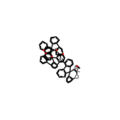 c1ccc(C2(c3ccccc3)c3ccccc3-c3ccc(N(c4cccc5c4-c4ccccc4C54c5ccccc5Oc5ccccc54)c4cccc5c4C4(c6ccccc6Sc6ccccc64)c4ccccc4-5)cc32)cc1